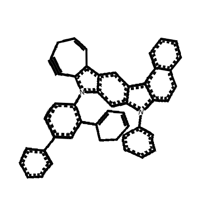 C1#Cc2c(c3cc4c5c6ccccc6ccc5n(-c5ccccc5)c4cc3n2-c2ccc(-c3ccccc3)cc2C2=CC=CCC2)C=CC1